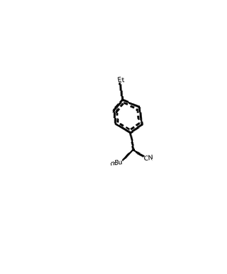 CCCCC(C#N)c1ccc(CC)cc1